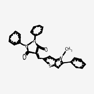 Cn1c(-c2ccccc2)cc2sc(C=C3C(=O)N(c4ccccc4)N(c4ccccc4)C3=O)cc21